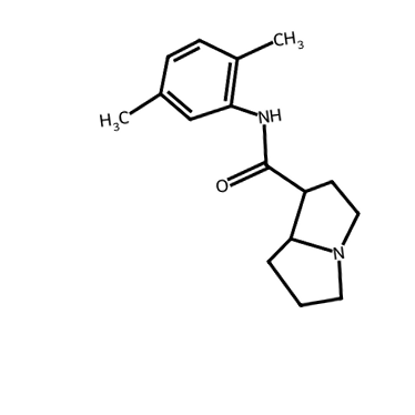 Cc1ccc(C)c(NC(=O)C2CCN3CCCC23)c1